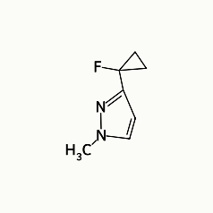 Cn1ccc(C2(F)CC2)n1